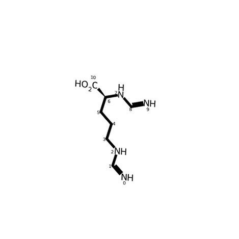 N=CNCCC[C@H](NC=N)C(=O)O